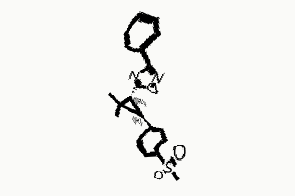 CC1(C)[C@H](c2ccc(S(C)(=O)=O)cc2)[C@H]1c1nc(-c2ccccc2)no1